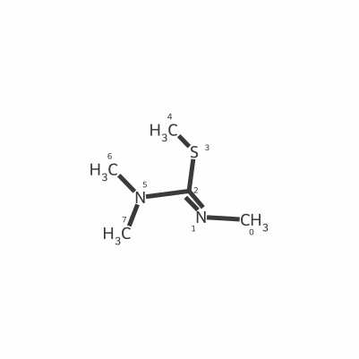 CN=C(SC)N(C)C